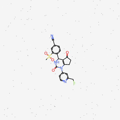 CS(=O)(=O)c1cc(C#N)ccc1C1NC(=O)N(c2ccnc(CF)c2)C2=C1C(=O)CC2